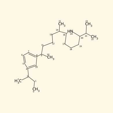 CCC(C)c1cccc(C(C)CCCC(C)C2CCCC(C(C)C)N2)c1